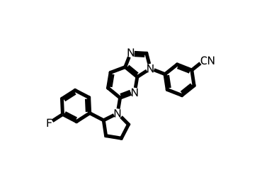 N#Cc1cccc(-n2cnc3ccc(N4CCCC4c4cccc(F)c4)nc32)c1